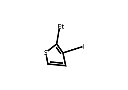 CCc1sccc1I